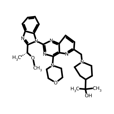 CO[C@H](C)c1nc2ccccc2n1-c1nc(N2CCOCC2)c2nc(CN3CCC(C(C)(C)O)CC3)ccc2n1